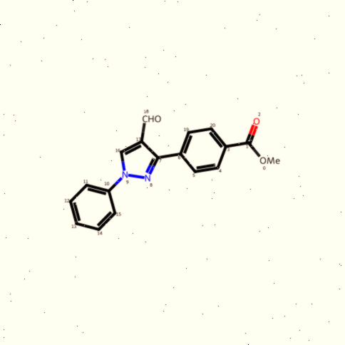 COC(=O)c1ccc(-c2nn(-c3ccccc3)cc2C=O)cc1